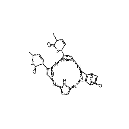 CC1C=CC(C2=Cc3nc2nc2[nH]c(cc2C2C=CC(C)C(=O)S2)nc2nc(nc4ccc(n3)[nH]4)C3=C2C2C=CC3C(=O)S2)C(=O)S1